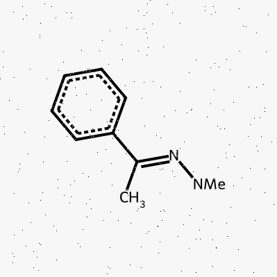 CNN=C(C)c1ccccc1